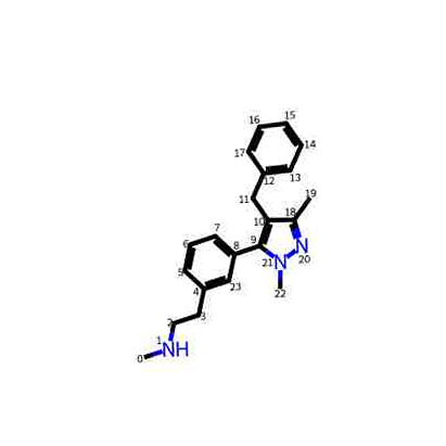 CNCCc1cccc(-c2c(Cc3ccccc3)c(C)nn2C)c1